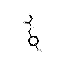 Cc1ccc(CNC(=O)C=O)cc1